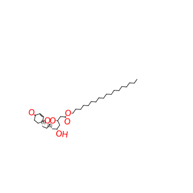 CCCCCCCCCCCCCCCCCCOC(=O)CC1CC(O)C[C@@]2(CC[C@]3(C=CC(=O)CC3)O2)O1